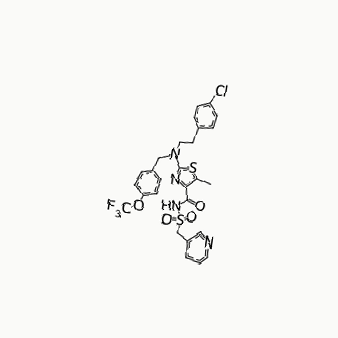 Cc1sc(N(CCc2ccc(Cl)cc2)Cc2ccc(OC(F)(F)F)cc2)nc1C(=O)NS(=O)(=O)Cc1cccnc1